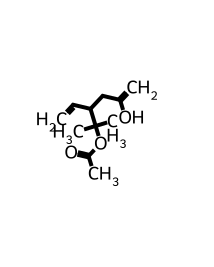 C=CC(CC(=C)O)C(C)(C)OC(C)=O